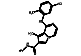 CCCNC(=O)c1cn2ccnc(Nc3cc(N=O)ccc3C)c2c1C